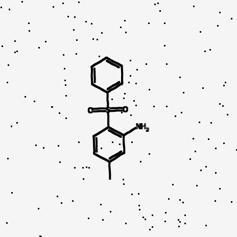 Cc1ccc(S(=O)(=O)c2ccccc2)c(N)c1